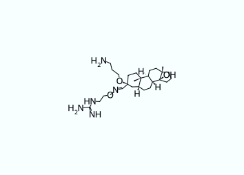 C[C@]12CC[C@](/C=N/OCCNC(=N)N)(OCCCN)C[C@H]1CC[C@@H]1[C@@H]2CC[C@]2(C)CCC[C@]12O